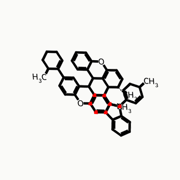 CC1C=CC(n2c3ccccc3c3cccc(C4C5=C(C=C[C@@H]4C)Oc4ccccc4C5C4c5cc(C6=CCCCC6C)ccc5OC5C=CC(C)CC54)c32)=CC1